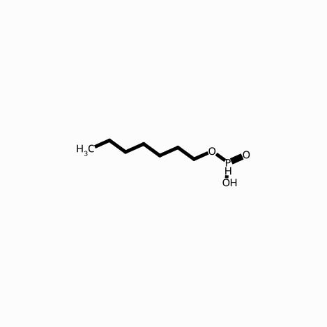 CCCCCCCO[PH](=O)O